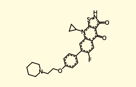 O=c1[nH]sc2c1c(=O)c1cc(F)c(-c3ccc(OCCN4CCCCC4)cc3)cc1n2C1CC1